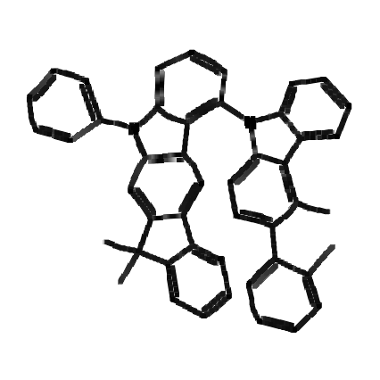 Cc1ccccc1-c1ccc2c(c1C)c1ccccc1n2-c1cccc2c1c1cc3c(cc1n2-c1ccccc1)C(C)(C)c1ccccc1-3